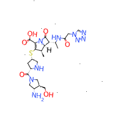 CC(NC(=O)Cn1cnnn1)[C@H]1C(=O)N2C(C(=O)O)=C(S[C@@H]3CN[C@H](C(=O)N4C[C@@H](CO)[C@H](N)C4)C3)[C@H](C)[C@H]12